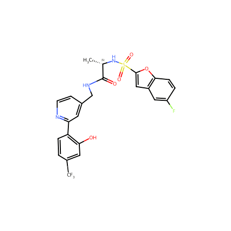 C[C@H](NS(=O)(=O)c1cc2cc(F)ccc2o1)C(=O)NCc1ccnc(-c2ccc(C(F)(F)F)cc2O)c1